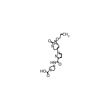 C=CCON1C(=O)N2CC(n3ccc(C(=O)N[C@@H]4CCN(C(=O)O)C4)n3)=CC1C2